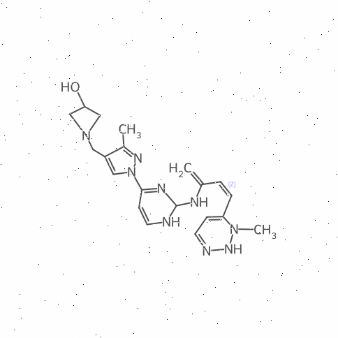 C=C(/C=C\C1=CC=NNN1C)NC1N=C(n2cc(CN3CC(O)C3)c(C)n2)C=CN1